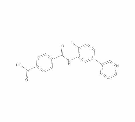 O=C(O)c1ccc(C(=O)Nc2cc(-c3cccnc3)ccc2I)cc1